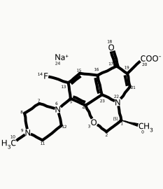 C[C@H]1COc2c(N3CCN(C)CC3)c(F)cc3c(=O)c(C(=O)[O-])cn1c23.[Na+]